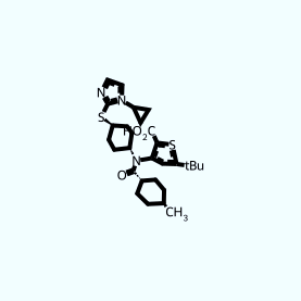 CC(C)(C)c1cc(N(C(=O)[C@H]2CC[C@H](C)CC2)[C@H]2CC[C@H](Sc3nccn3C3CC3)CC2)c(C(=O)O)s1